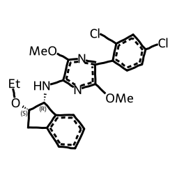 CCO[C@H]1Cc2ccccc2[C@H]1Nc1nc(OC)c(-c2ccc(Cl)cc2Cl)nc1OC